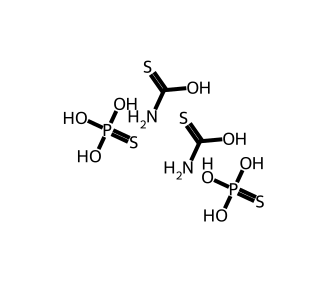 NC(O)=S.NC(O)=S.OP(O)(O)=S.OP(O)(O)=S